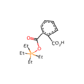 CCP(CC)(CC)(CC)OC(=O)c1ccccc1C(=O)O